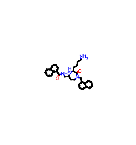 NCCCC[C@@H]1N[C@H](CNC(=O)c2cccc3ccccc23)CCN(Cc2cccc3ccccc23)C1=O